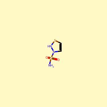 NS(=O)(=O)N1C=CSN1